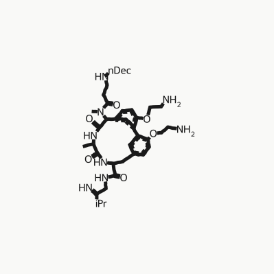 CCCCCCCCCCNCCC(=O)N(C)C1C(=O)NC(C)C(=O)NC(C(=O)NCC(=N)C(C)C)Cc2ccc(OCCN)c(c2)-c2cc1ccc2OCCN